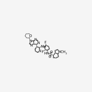 Cn1ccc2c(S(=O)(=O)Nc3ccc(F)c(Nc4ncccc4-c4ncnc5c4ncn5C4CCCCO4)c3F)cccc21